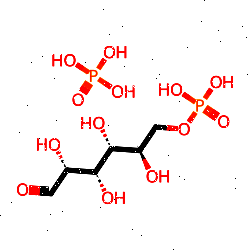 O=C[C@H](O)[C@@H](O)[C@H](O)[C@H](O)COP(=O)(O)O.O=P(O)(O)O